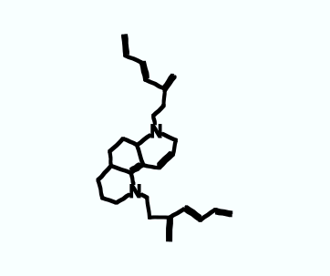 C=CC=CC(=C)CCN1CCCC2CCC3C(=C21)C=CCN3CCC(=C)C=CC=C